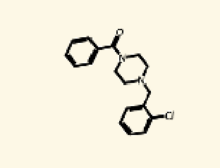 O=C(c1[c]cccc1)N1CCN(Cc2ccccc2Cl)CC1